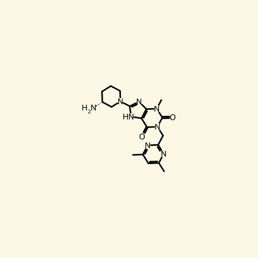 Cc1cc(C)nc(Cn2c(=O)c3[nH]c(N4CCC[C@@H](N)C4)nc3n(C)c2=O)n1